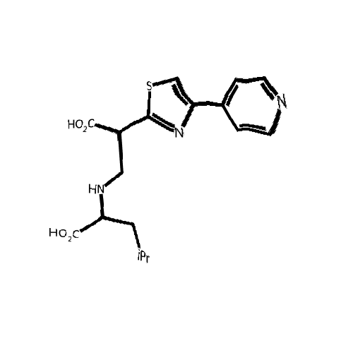 CC(C)CC(NCC(C(=O)O)c1nc(-c2ccncc2)cs1)C(=O)O